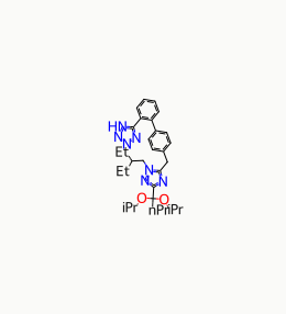 CCCC(OC(C)C)(OC(C)C)c1nc(Cc2ccc(-c3ccccc3-c3nnn[nH]3)cc2)n(CC(CC)CC)n1